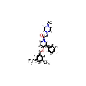 CC(=O)N1CCN(CC(=O)N2CCC(OCc3cc(C(F)(F)F)cc(C(F)(F)F)c3)C(c3ccccc3)C2)CC1